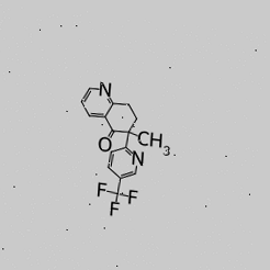 CC1(c2ccc(C(F)(F)F)cn2)CCc2ncccc2C1=O